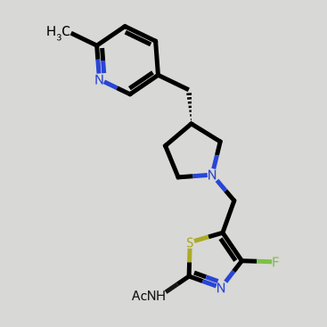 CC(=O)Nc1nc(F)c(CN2CC[C@H](Cc3ccc(C)nc3)C2)s1